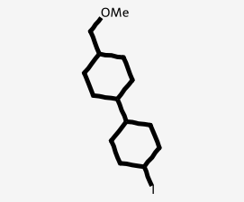 COCC1CCC(C2CCC(I)CC2)CC1